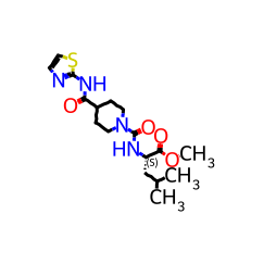 COC(=O)[C@H](CC(C)C)NC(=O)N1CCC(C(=O)Nc2nccs2)CC1